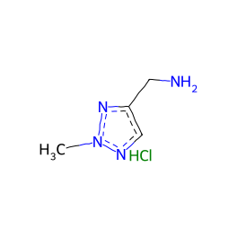 Cl.Cn1ncc(CN)n1